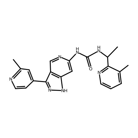 Cc1cc(-c2n[nH]c3cc(NC(=O)NC(C)c4ncccc4C)ncc23)ccn1